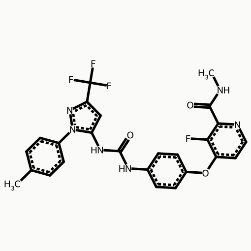 CNC(=O)c1nccc(Oc2ccc(NC(=O)Nc3cc(C(F)(F)F)nn3-c3ccc(C)cc3)cc2)c1F